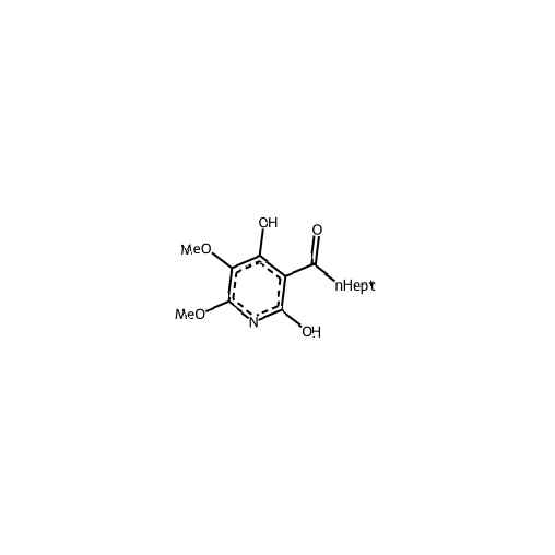 CCCCCCCC(=O)c1c(O)nc(OC)c(OC)c1O